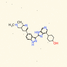 CN(C)CC1C=NC=C(c2ccc3[nH]nc(-c4nc5c(C6CCC(O)CC6)cncc5[nH]4)c3c2)C1